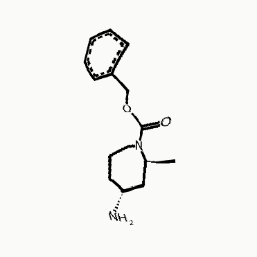 C[C@H]1C[C@H](N)CCN1C(=O)OCc1ccccc1